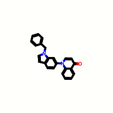 O=c1ccn(-c2ccc3ccn(Cc4ccccc4)c3c2)c2ccccc12